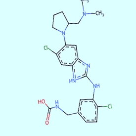 CN(C)CC1CCCN1c1cc2nc(Nc3cc(CNC(=O)O)ccc3Cl)[nH]c2cc1Cl